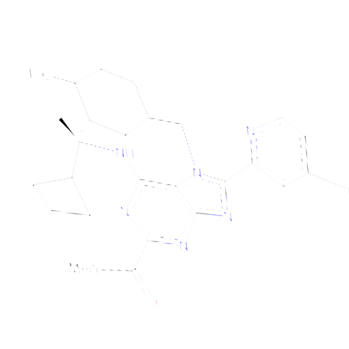 COC(=O)c1nc(N[C@H](C)C2CCC2)c2c(n1)nc(-c1cc(C(C)C)ccn1)n2CC1CCC(C(F)(F)F)CC1